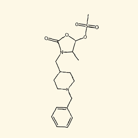 CC1C(OS(C)(=O)=O)OC(=O)N1CC1CCN(Cc2ccccc2)CC1